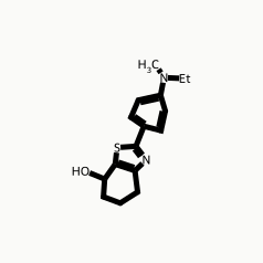 CCN(C)c1ccc(-c2nc3c(s2)C(O)CCC3)cc1